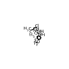 CC(C)c1cc(Cl)nc(NC(=O)Nc2ccc(OC(F)(F)F)cc2)n1